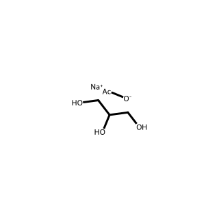 CC(=O)[O-].OCC(O)CO.[Na+]